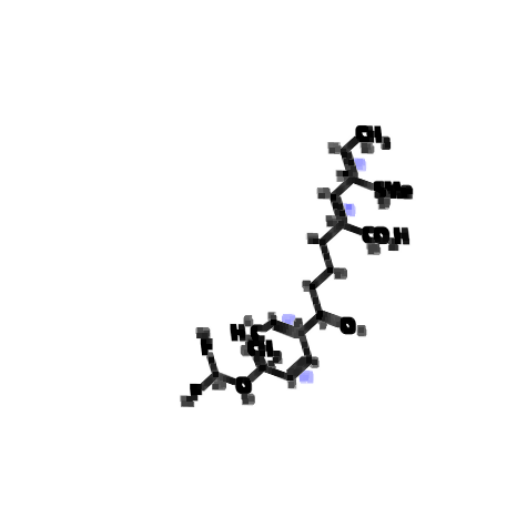 C=C(/C=C\C(=C/C)C(=O)CCC/C(=C/C(=C/C)SC)C(=O)O)OC(F)F